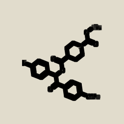 COc1ccc(C(=O)C(OC(=O)C2CCN(C(=O)OC(C)(C)C)CC2)c2ccc(F)cc2)cc1